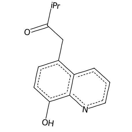 CC(C)C(=O)Cc1ccc(O)c2ncccc12